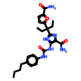 CCCCc1ccc(NC(=O)Nc2[nH]c(C(CC)(CC)c3ccc(C(N)=O)o3)nc2C(N)=O)cc1